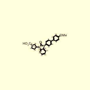 COc1ccc(-c2ccc(-n3c(=O)n(C4CCN(C(=O)O)C4)c4ncccc43)cc2)cc1